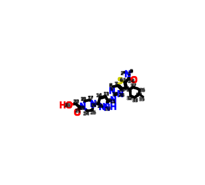 CN(C)C(=O)c1sc2cnc(Nc3ccc(N4CCN(C(=O)CO)CC4)nn3)nc2c1[C@H]1CC[C@H](C)CC1